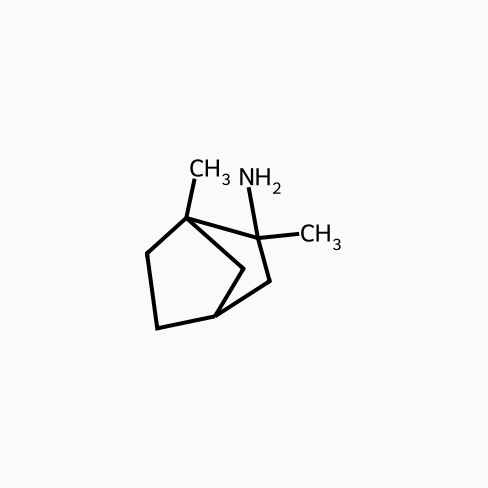 CC1(N)CC2CCC1(C)C2